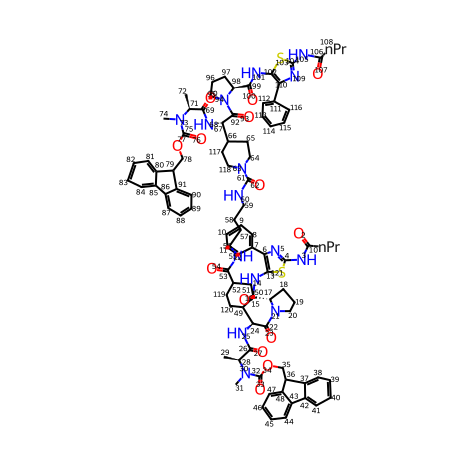 CCCC(=O)Nc1nc(-c2ccccc2)c(NC(=O)[C@@H]2CCCN2C(=O)[C@@H](NC(=O)[C@H](C)N(C)C(=O)OCC2c3ccccc3-c3ccccc32)C2CCC(C(=O)NCCCCNC(=O)N3CCC([C@H](NC(=O)[C@H](C)N(C)C(=O)OCC4c5ccccc5-c5ccccc54)C(=O)N4CCC[C@H]4C(=O)Nc4sc(NC(=O)CCC)nc4-c4ccccc4)CC3)CC2)s1